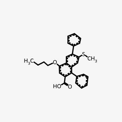 CCCCOc1cc(C(=O)O)c(-c2ccccc2)c2cc(SC)c(-c3ccccc3)cc12